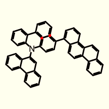 c1ccc(-c2ccccc2N(c2ccc(-c3cccc4c3ccc3c5ccccc5ccc43)cc2)c2cc3ccccc3c3ccccc23)cc1